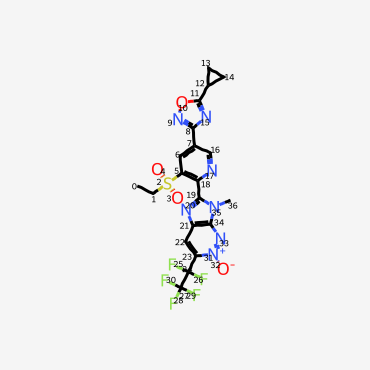 CCS(=O)(=O)c1cc(-c2noc(C3CC3)n2)cnc1-c1nc2cc(C(F)(F)C(F)(F)F)[n+]([O-])nc2n1C